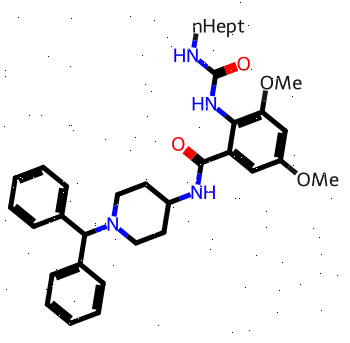 CCCCCCCNC(=O)Nc1c(OC)cc(OC)cc1C(=O)NC1CCN(C(c2ccccc2)c2ccccc2)CC1